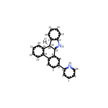 c1ccc(-c2ccc3c(c2)C2=Nc4ccccc4[C@@H]2c2ccccc2-3)nc1